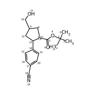 CC(C)(C)OC(=O)N1CC(CO)CC1c1ccc(C#N)cc1